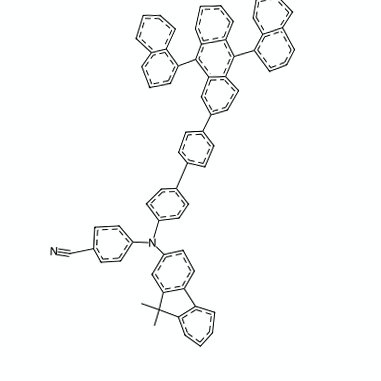 CC1(C)c2ccccc2-c2ccc(N(c3ccc(C#N)cc3)c3ccc(-c4ccc(-c5ccc6c(-c7cccc8ccccc78)c7ccccc7c(-c7cccc8ccccc78)c6c5)cc4)cc3)cc21